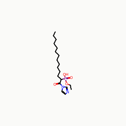 CCCCCCCCCCCCC(C(=O)n1ccnc1)P(=O)(O)OCC